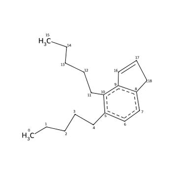 CCCCCc1ccc2c(c1CCCCC)C=C[CH]2